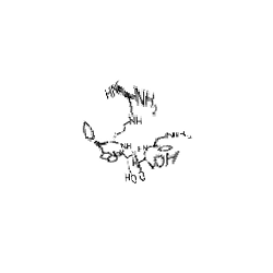 N=C(N)NCCC[C@H](NC(=O)[C@H](CO)NC(=O)[C@H](CO)NC(=O)CN)C(=O)O